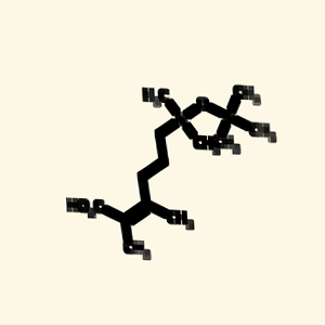 CC(CCC[Si](C)(C)O[Si](C)(C)C)=C(C)C(=O)O